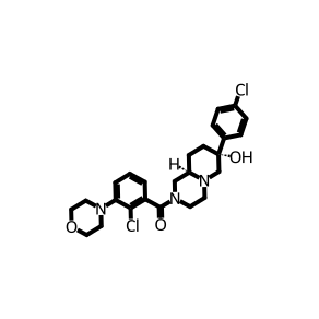 O=C(c1cccc(N2CCOCC2)c1Cl)N1CCN2C[C@](O)(c3ccc(Cl)cc3)CC[C@@H]2C1